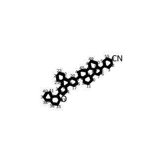 N#Cc1ccc(-c2ccc3c4cccc5c(-c6ccc7c(c6)c6ccccc6c6cc8c(cc76)oc6ccc7ccccc7c68)ccc(c6cccc2c36)c54)cc1